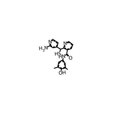 Cc1cc(NC(=O)c2cccnc2C(S)c2ccnc(N)c2)cc(C)c1O